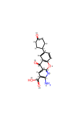 Nc1nc2oc3ccc(C4CCC(=O)CC4)cc3c(=O)c2cc1C(=O)O